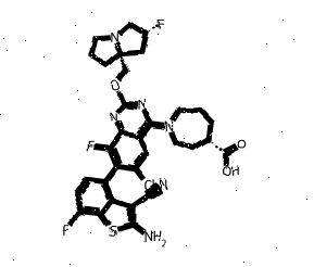 N#Cc1c(N)sc2c(F)ccc(-c3c(Cl)cc4c(N5CCC[C@H](C(=O)O)CC5)nc(OC[C@@]56CCCN5C[C@H](F)C6)nc4c3F)c12